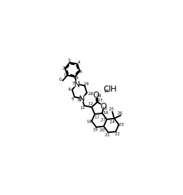 Cc1ccccc1N1CCN(CC2C(=O)OC3C2CCC2CCCC(C)(C)C23)CC1.Cl